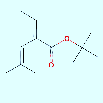 C/C=C(\C=C(\C)CC)C(=O)OC(C)(C)C